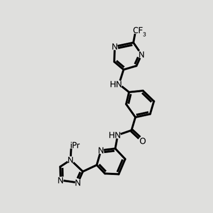 CC(C)n1cnnc1-c1cccc(NC(=O)c2cccc(Nc3cnc(C(F)(F)F)nc3)c2)n1